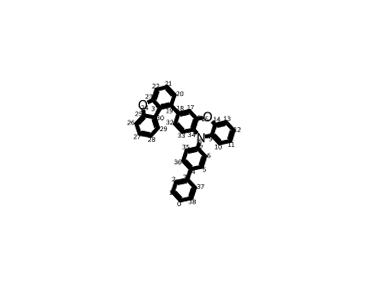 c1ccc(-c2ccc(N3c4ccccc4Oc4cc(-c5cccc6oc7ccccc7c56)ccc43)cc2)cc1